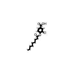 CCCCCCCCC(=O)Oc1ccc(C(=O)O)cc1Cl